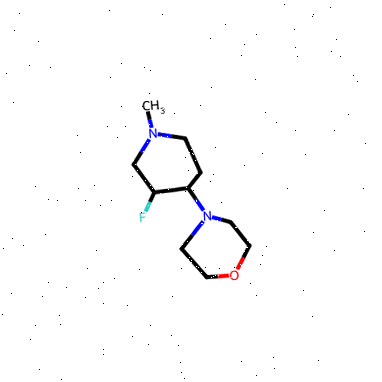 CN1CCC(N2CCOCC2)C(F)C1